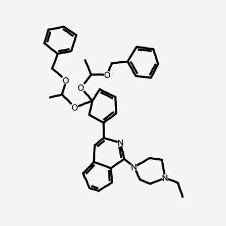 CCN1CCN(c2nc(C3=CC=CC(OC(C)OCc4ccccc4)(OC(C)OCc4ccccc4)C3)cc3ccccc23)CC1